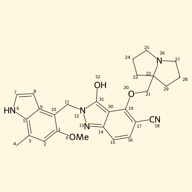 COc1cc(C)c2[nH]ccc2c1Cn1nc2ccc(C#N)c(OCC34CCCN3CCC4)c2c1O